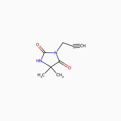 C#CCN1C(=O)NC(C)(C)C1=O